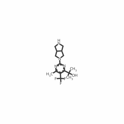 Cc1nc(N2CC3CNCC3C2)nc(C(C)(C)O)c1C(F)(F)F